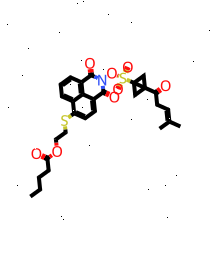 CCCCC(=O)OCCSc1ccc2c3c(cccc13)C(=O)N(OS(=O)(=O)C13CC1(C(=O)CC=C(C)C)C3)C2=O